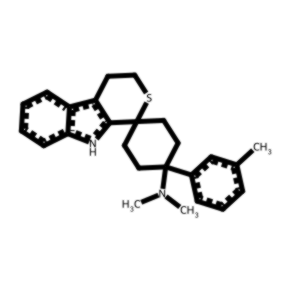 Cc1cccc(C2(N(C)C)CCC3(CC2)SCCc2c3[nH]c3ccccc23)c1